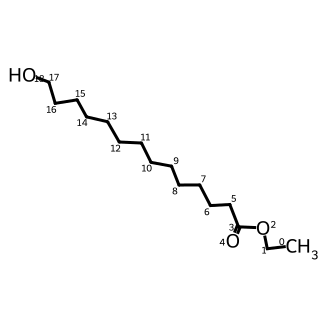 CCOC(=O)CCCCCCCCCCCCCO